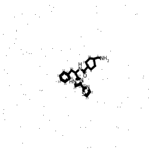 NCC1CCC(C(=O)NC(Cc2ccccc2)c2nc(-c3nccs3)c[nH]2)CC1